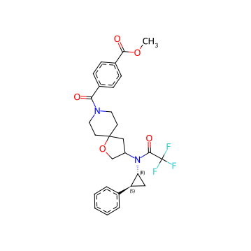 COC(=O)c1ccc(C(=O)N2CCC3(CC2)CC(N(C(=O)C(F)(F)F)[C@@H]2C[C@H]2c2ccccc2)CO3)cc1